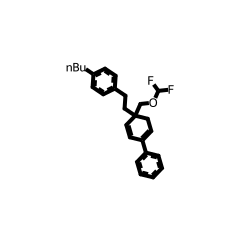 CCCCc1ccc(CCC2(COC(F)F)C=CC(c3ccccc3)=CC2)cc1